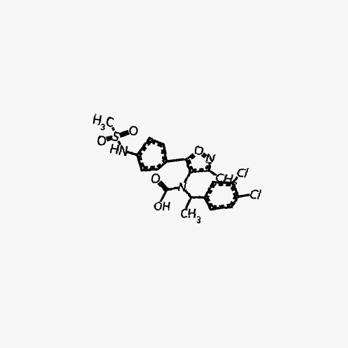 Cc1noc(-c2ccc(NS(C)(=O)=O)cc2)c1N(C(=O)O)C(C)c1ccc(Cl)c(Cl)c1